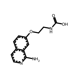 Nc1nccc2ccc(OCCNC(=O)O)cc12